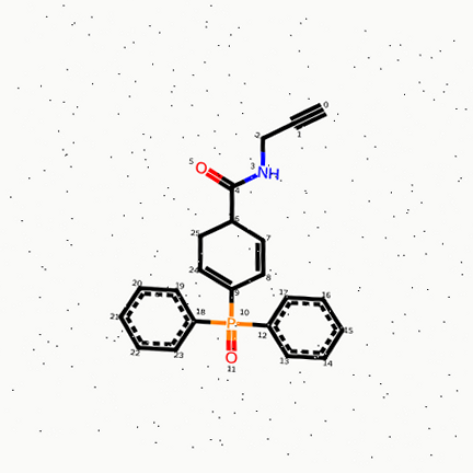 C#CCNC(=O)C1C=CC(P(=O)(c2ccccc2)c2ccccc2)=CC1